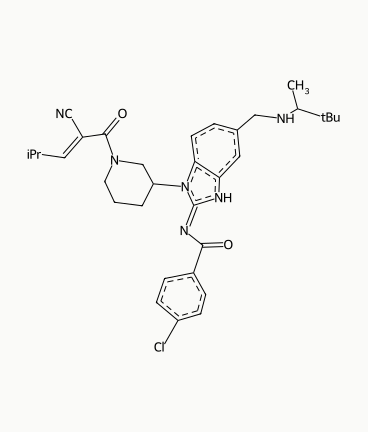 CC(C)C=C(C#N)C(=O)N1CCCC(n2c(=NC(=O)c3ccc(Cl)cc3)[nH]c3cc(CNC(C)C(C)(C)C)ccc32)C1